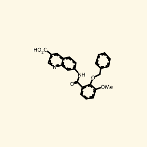 COc1cccc(C(=O)Nc2ccc3cc(C(=O)O)cnc3c2)c1OCc1ccccc1